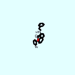 O=C1c2c3ccc(NCCc4ccccc4)c2C(=O)N(c2cccc(Br)c2)C1C=C3